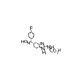 O=C(O)Nc1nc2cc(C(=NO)c3ccc(F)cc3)ccc2[nH]1